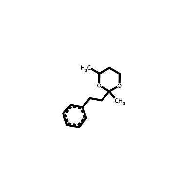 CC1CCOC(C)(CCc2ccccc2)O1